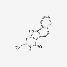 O=C1NC(C2CC2)Cc2[nH]c3c(ccc4cnccc43)c21